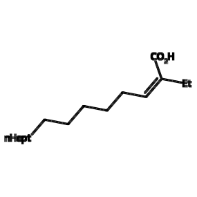 CCCCCCCCCCCCC=C(CC)C(=O)O